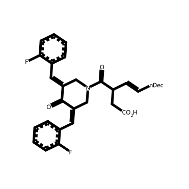 CCCCCCCCCCC=CC(CC(=O)O)C(=O)N1CC(=Cc2ccccc2F)C(=O)C(=Cc2ccccc2F)C1